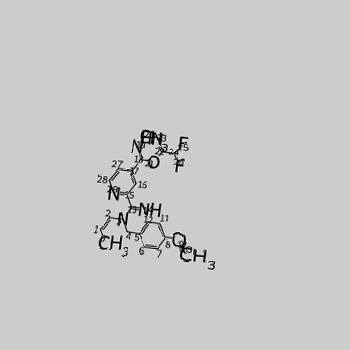 C/C=C\N(Cc1ccc(OC)cc1)C(=N)c1cc(/C(=N/C)OC(=N)C(F)F)ccn1